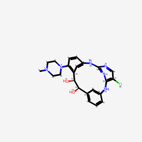 CN1CCN(c2ccc3cc2[C@H](O)[C@H](O)c2cccc(c2)Nc2nc(ncc2Cl)N3)CC1